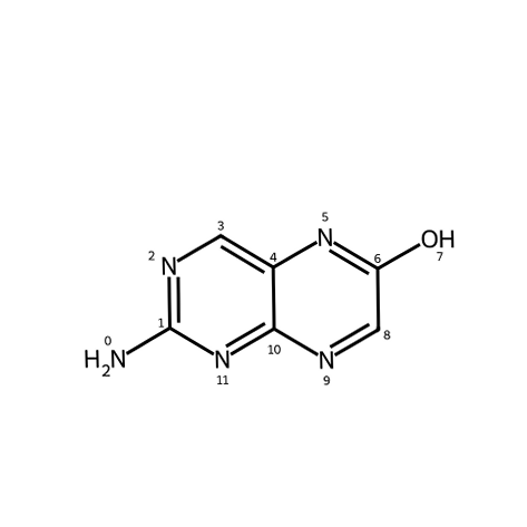 Nc1ncc2nc(O)cnc2n1